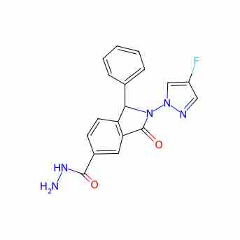 NNC(=O)c1ccc2c(c1)C(=O)N(n1cc(F)cn1)C2c1ccccc1